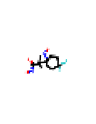 CC(C)(C(=O)N=O)C1(N=O)CCC(F)(F)CC1